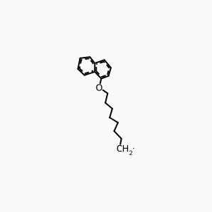 [CH2]CCCCCCCOc1cccc2ccccc12